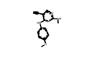 C#Cc1cnc(NC)nc1Nc1ccc(OC)cc1